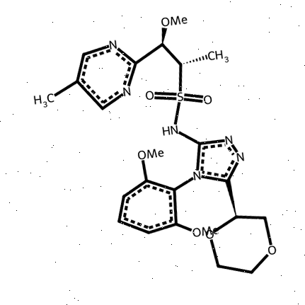 COc1cccc(OC)c1-n1c(NS(=O)(=O)[C@@H](C)[C@H](OC)c2ncc(C)cn2)nnc1[C@H]1COCCO1